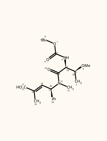 CO[C@@H](C)[C@H](NC(=O)OC(C)(C)C)C(=O)N(C)[C@H](C=C(C)C(=O)O)C(C)C